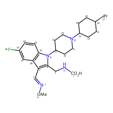 CON=Cc1c(CNC(=O)O)n(C2CCN(C3CCC(C(C)C)CC3)CC2)c2ccc(F)cc12